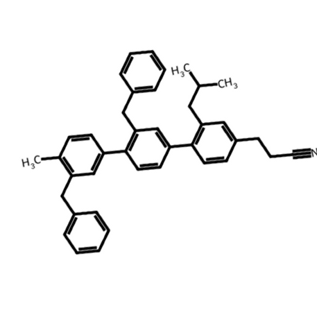 Cc1ccc(-c2ccc(-c3ccc(CCC#N)cc3CC(C)C)cc2Cc2ccccc2)cc1Cc1ccccc1